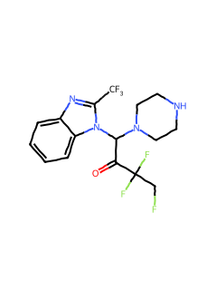 O=C(C(N1CCNCC1)n1c(C(F)(F)F)nc2ccccc21)C(F)(F)CF